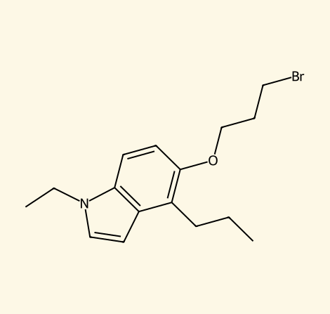 CCCc1c(OCCCBr)ccc2c1ccn2CC